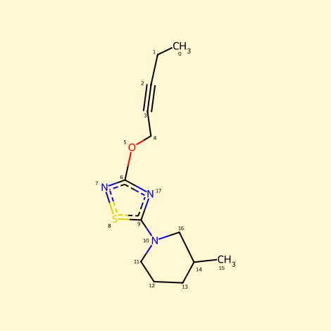 CCC#CCOc1nsc(N2CCCC(C)C2)n1